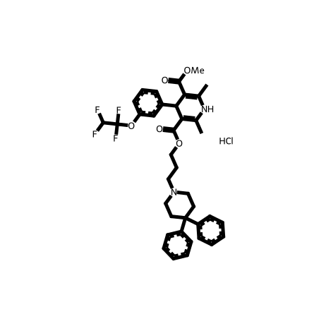 COC(=O)C1=C(C)NC(C)=C(C(=O)OCCCN2CCC(c3ccccc3)(c3ccccc3)CC2)C1c1cccc(OC(F)(F)C(F)F)c1.Cl